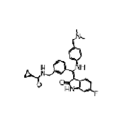 CN(C)Cc1ccc(NC(=C2C(=O)Nc3cc(F)ccc32)c2cccc(CNC(=O)C3CC3)c2)cc1